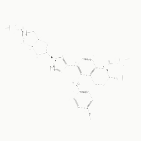 CC1CCc2c(ccc(-c3cnn(C4CC5CN(C)CC5C4)c3)c2Oc2ccc(F)cc2)N1C(=O)O